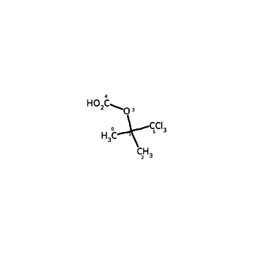 CC(C)(OC(=O)O)C(Cl)(Cl)Cl